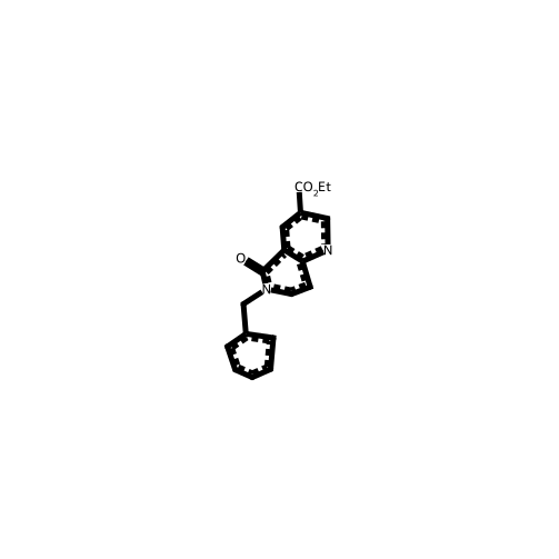 CCOC(=O)c1cnc2ccn(Cc3ccccc3)c(=O)c2c1